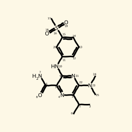 CC(C)c1nc(C(N)=O)c(Nc2cccc(S(C)(=O)=O)c2)nc1N(C)C